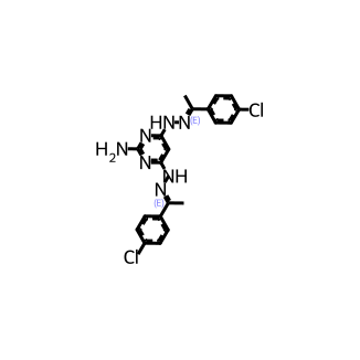 C/C(=N\Nc1cc(N/N=C(\C)c2ccc(Cl)cc2)nc(N)n1)c1ccc(Cl)cc1